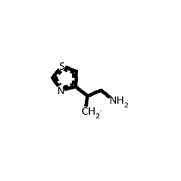 [CH2]C(CN)c1cscn1